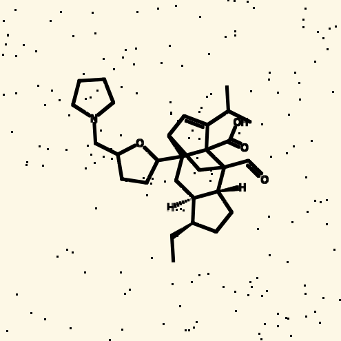 CC[C@@H]1CC[C@@H]2[C@@H]1CC1(C3CCC(CN4CCCC4)O3)C3C=C(C(C)C)C1(C(=O)O)C2(C=O)C3